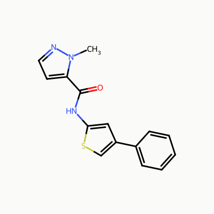 Cn1nccc1C(=O)Nc1cc(-c2ccccc2)cs1